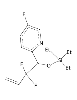 C=CC(F)(F)C(O[Si](CC)(CC)CC)c1ccc(F)cn1